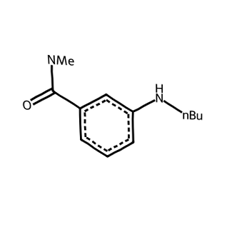 CCCCNc1cccc(C(=O)NC)c1